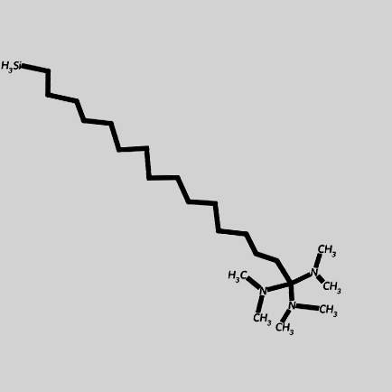 CN(C)C(CCCCCCCCCCCCCCC[SiH3])(N(C)C)N(C)C